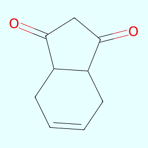 O=C1CC(=O)C2CC=CCC12